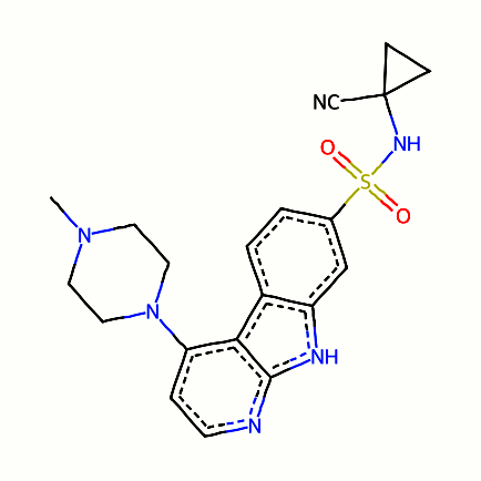 CN1CCN(c2ccnc3[nH]c4cc(S(=O)(=O)NC5(C#N)CC5)ccc4c23)CC1